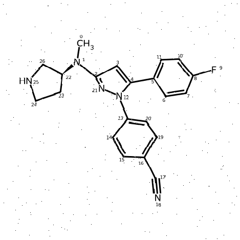 CN(c1cc(-c2ccc(F)cc2)n(-c2ccc(C#N)cc2)n1)[C@H]1CCNC1